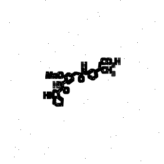 COc1cc(CC(=O)Nc2cccc(C(C)CC(=O)O)c2)ccc1NC(=O)C1CNc2ccccc21